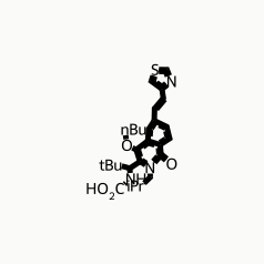 CCCCOc1c(C(NC(=O)O)C(C)(C)C)n(CC(C)C)c(=O)c2ccc(/C=C/c3cscn3)cc12